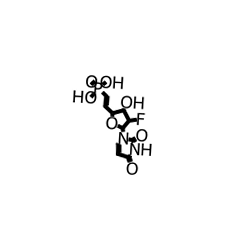 O=c1ccn(C2OC(C=CP(=O)(O)O)C(O)C2F)c(=O)[nH]1